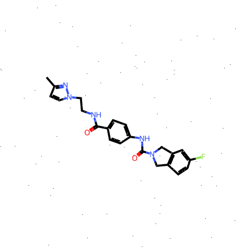 Cc1ccn(CCNC(=O)c2ccc(NC(=O)N3Cc4ccc(F)cc4C3)cc2)n1